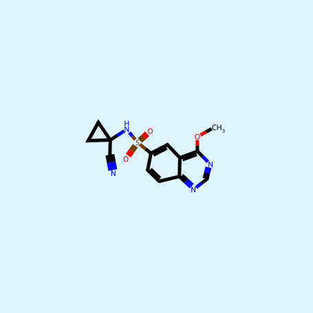 COc1ncnc2ccc(S(=O)(=O)NC3(C#N)CC3)cc12